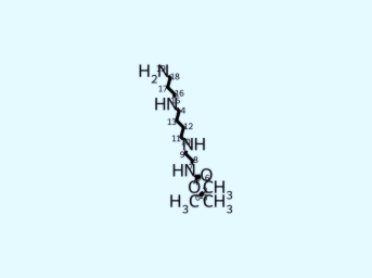 CC(C)(C)OC(=O)NCCNCCCCNCCCN